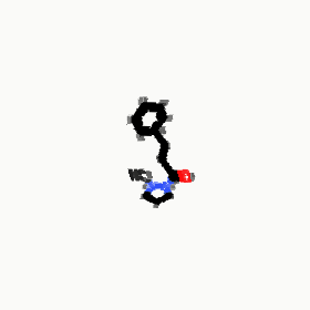 N#CN1CCCN1C(=O)CCc1ccccc1